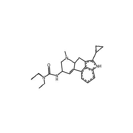 CCN(CC)C(=O)NC1C=C2c3cccc4[nH]c(C5CC5)c(c34)CC2N(C)C1